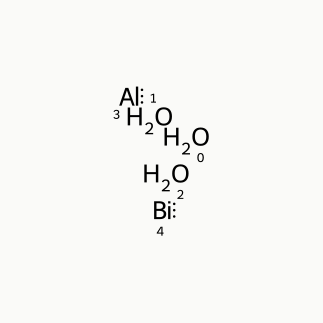 O.O.O.[Al].[Bi]